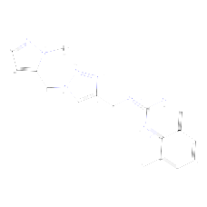 C=C1C=CC=C(C)/C1=N/C(N)=N\Cc1cn(Cc2ccnn2C(C)C)nn1